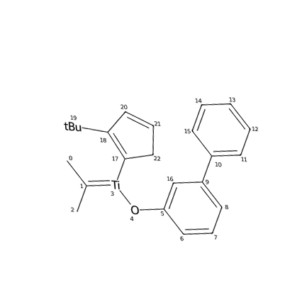 C[C](C)=[Ti]([O]c1cccc(-c2ccccc2)c1)[C]1=C(C(C)(C)C)C=CC1